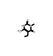 CCc1c(N)[nH]c(=O)n(C)c1=O